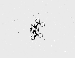 ClC(Cl)c1ncnc(C(Cl)Cl)n1